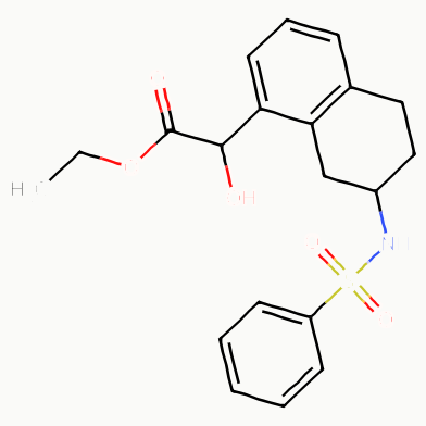 CCOC(=O)C(O)c1cccc2c1CC(NS(=O)(=O)c1ccccc1)CC2